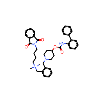 C[N+](C)(CCCCN1C(=O)c2ccccc2C1=O)Cc1ccccc1CN1CCC(OC(=O)Nc2ccccc2-c2ccccc2)CC1